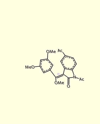 CO/C(=C1\C(=O)N(C(C)=O)c2ccc(C(C)=O)cc21)c1cc(OC)cc(OC)c1